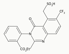 CCOC(=O)c1ccccc1-n1c(C)nc2ccc(C(F)(F)F)c(CS(=O)(=O)O)c2c1=O